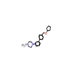 CN1CCN(c2cccc(-c3ccc(COC4CCCC4)cc3)c2)CC1